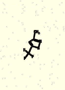 Cc1cc(C(F)(F)F)sn1